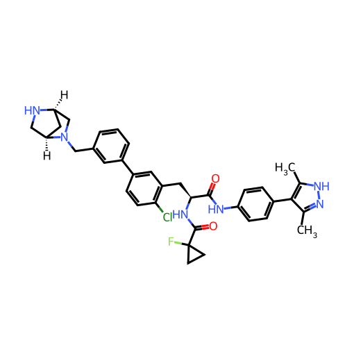 Cc1n[nH]c(C)c1-c1ccc(NC(=O)[C@H](Cc2cc(-c3cccc(CN4C[C@H]5C[C@@H]4CN5)c3)ccc2Cl)NC(=O)C2(F)CC2)cc1